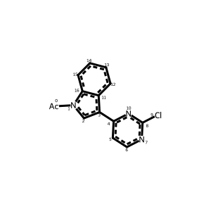 CC(=O)n1cc(-c2ccnc(Cl)n2)c2ccccc21